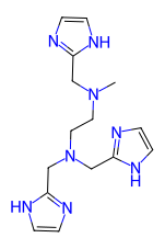 CN(CCN(Cc1ncc[nH]1)Cc1ncc[nH]1)Cc1ncc[nH]1